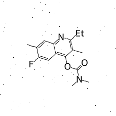 CCc1nc2cc(C)c(F)cc2c(OC(=O)N(C)C)c1C